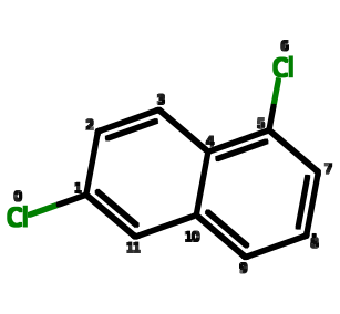 Clc1ccc2c(Cl)c[c]cc2c1